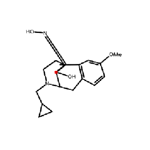 COc1ccc2c(c1)C13CCN(CC4CC4)C(C2)C1(O)CC/C(=N\O)C3